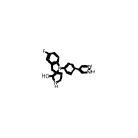 OC1NCCC12Cc1cc(F)ccc1N2c1ccc(-c2cn[nH]c2)cc1